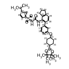 CC(C)n1ccc(S(=O)(=O)NC(=O)Nc2c(-c3ccnc(OC4CCC(B5OC(C)(C)C(C)(C)O5)CC4)c3)ccc3c2CCC3)n1